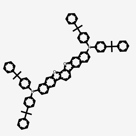 CC(C)(c1ccccc1)c1ccc(N(c2ccc(C(C)(C)c3ccccc3)cc2)c2ccc3cc4c(cc3c2)oc2c4ccc3c4cc5ccc(N(c6ccc(C(C)(C)c7ccccc7)cc6)c6ccc(C(C)(C)c7ccccc7)cc6)cc5cc4oc32)cc1